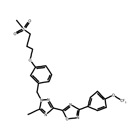 Cc1nc(-c2nc(-c3ccc(OC(F)(F)F)cc3)no2)nn1Cc1cccc(OCCCS(C)(=O)=O)c1